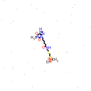 CCOP(C)(=O)SCCSCCNC(=O)CCCCCn1c(=O)n(C)c(=O)c2[nH]cnc21